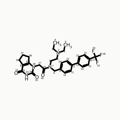 CCN(CC)CCN(Cc1ccc(-c2ccc(C(F)(F)F)cc2)cc1)C(=O)Cn1c2c(c(=O)[nH]c1=O)CCC2